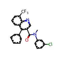 CN(C(=O)c1cnc2c(C(F)(F)F)cccc2c1-c1ccccc1)c1cccc(Cl)c1